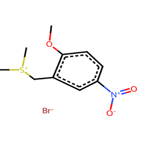 COc1ccc([N+](=O)[O-])cc1C[S+](C)C.[Br-]